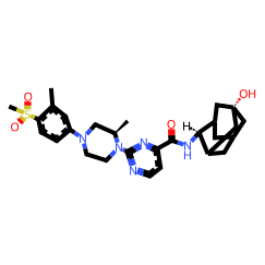 Cc1cc(N2CCN(c3nccc(C(=O)N[C@H]4C5CC6CC4C[C@](O)(C6)C5)n3)[C@H](C)C2)ccc1S(C)(=O)=O